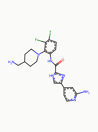 NCC1CCN(c2c(NC(=O)c3nc(-c4ccnc(N)c4)c[nH]3)ccc(F)c2F)CC1